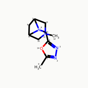 Cc1nnc(CN2C3CC2CN(C)C3)o1